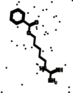 N=C(N)NCCCCCOC(=O)c1ccccc1